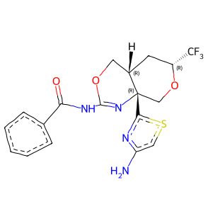 Nc1csc([C@]23CO[C@@H](C(F)(F)F)C[C@H]2COC(NC(=O)c2ccccc2)=N3)n1